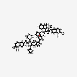 O=C(C(NS(=O)(=O)c1ccc2[nH]c(=O)ccc2c1)c1ccccc1C(F)(F)F)N(Cc1ccco1)Cc1cc(-c2coc(CN(Cc3cccs3)C(=O)[C@@H](NSc3ccc4[nH]c(=O)ccc4c3)C3CCCCC3)c2)cs1